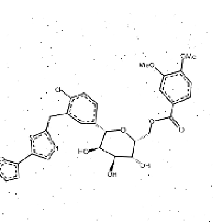 COc1ccc(C(=O)OC[C@H]2O[C@@H](c3ccc(Cl)c(Cc4ncc(-c5ccco5)s4)c3)[C@H](O)[C@H](O)[C@H]2O)cc1OC